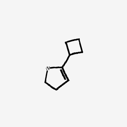 C1=C(C2CCC2)[N]CC1